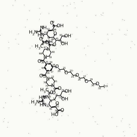 CC(=O)N[C@H]1[C@H]([C@H](OC(=O)N2CCN(C(=O)c3cc(OCCOCCOCCOCCOCI)cc(C(=O)N4CCN(C(=O)O[C@@H]([C@@H]5OC(C(=O)O)=C[C@H](NC(=N)N)[C@H]5NC(C)=O)[C@H](O)CO)CC4)c3)CC2)[C@H](O)CO)OC(C(=O)O)=C[C@@H]1NC(=N)N